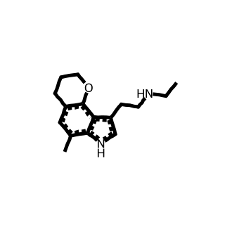 CCNCCc1c[nH]c2c(C)cc3c(c12)OCCC3